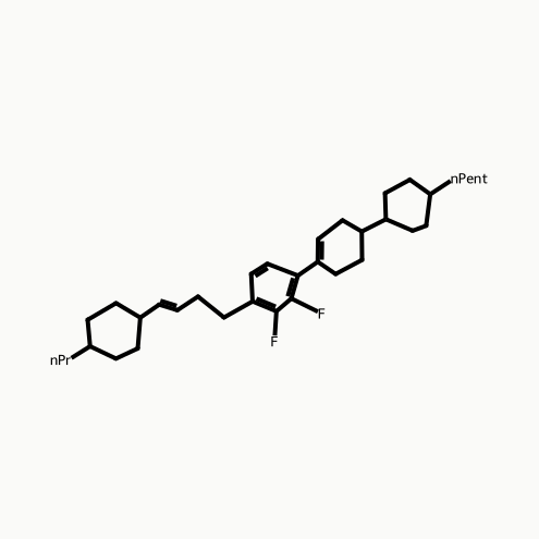 CCCCCC1CCC(C2CC=C(c3ccc(CC/C=C/C4CCC(CCC)CC4)c(F)c3F)CC2)CC1